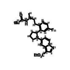 CCOC(=O)c1cnn2ccc(N3CCC[C@H]3c3cc(F)cnc3CCN(C)NC(=O)C(C)(C)C)nc12